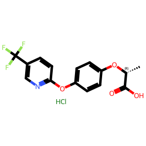 C[C@@H](Oc1ccc(Oc2ccc(C(F)(F)F)cn2)cc1)C(=O)O.Cl